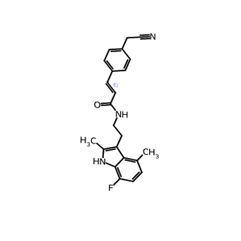 Cc1[nH]c2c(F)ccc(C)c2c1CCNC(=O)/C=C/c1ccc(CC#N)cc1